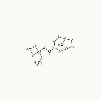 CCC1(COC2CCC3CCC(C2)O3)COC1